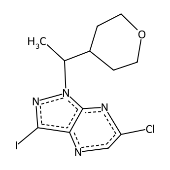 CC(C1CCOCC1)n1nc(I)c2ncc(Cl)nc21